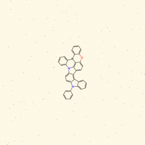 c1ccc(-n2c3ccccc3c3c4c5ccc6c7c5n(c4ccc32)-c2ccccc2B7c2ccccc2O6)cc1